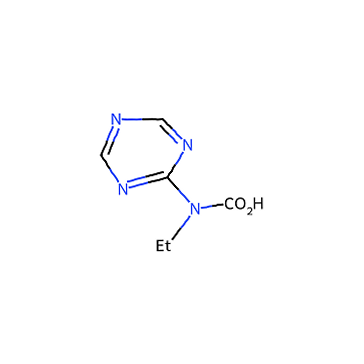 CCN(C(=O)O)c1ncncn1